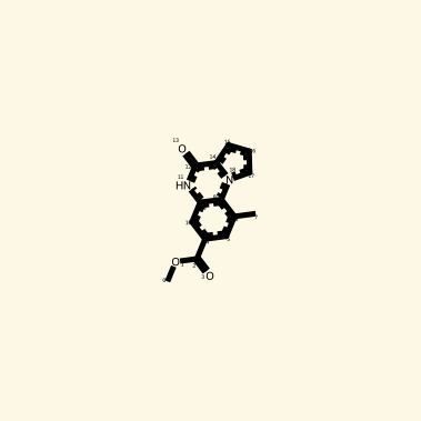 COC(=O)c1cc(C)c2c(c1)[nH]c(=O)c1cccn12